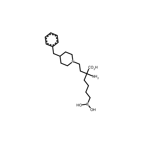 NC(CCCCB(O)O)(CCN1CCC(Cc2ccccc2)CC1)C(=O)O